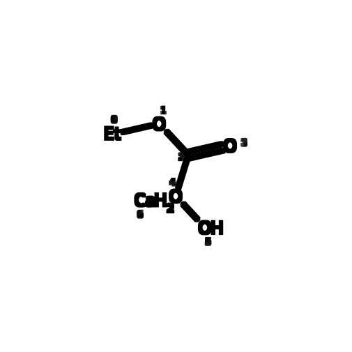 CCOC(=O)OO.[CaH2]